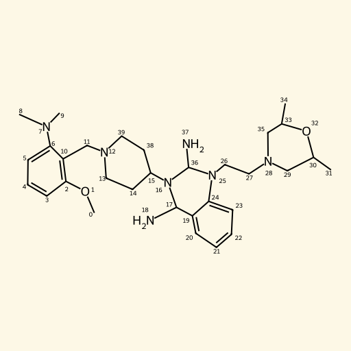 COc1cccc(N(C)C)c1CN1CCC(N2C(N)c3ccccc3N(CCN3CC(C)OC(C)C3)C2N)CC1